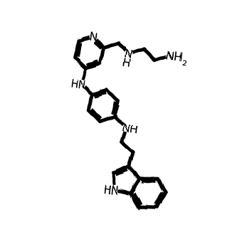 NCCNCc1cc(Nc2ccc(NCCc3c[nH]c4ccccc34)cc2)ccn1